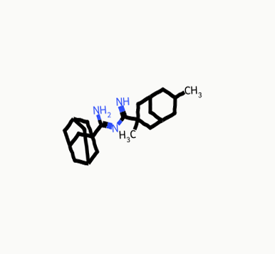 CC1CC2CC(C1)CC(C)(C(=N)/N=C(\N)C13CC4CC(CC(C4)C1)C3)C2